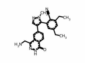 CCc1cc(CC)c(C#N)c(-c2c(-c3ccc4c(=O)[nH]nc(CN)c4c3)cnn2C)c1